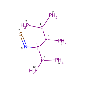 PP(P)P(P)P(N=S)P(P)P